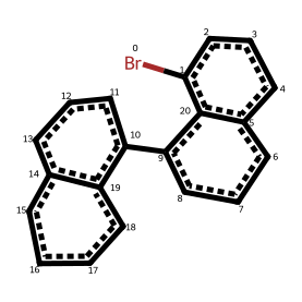 Brc1cccc2cccc(-c3cccc4ccccc34)c12